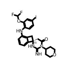 N=C1N[C@]2(CC(=O)N1C1CCOCC1)Cc1c(Nc3ccc(I)cc3OC(F)F)cccc12